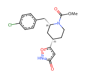 COC(=O)N1CC[C@H](c2cc(=O)[nH]o2)C[C@@H]1Cc1ccc(Cl)cc1